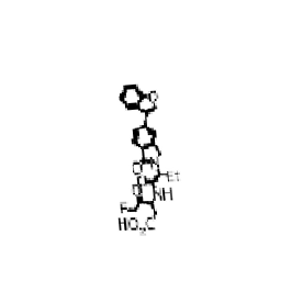 CC[C@@H](C(=O)NC(CC(=O)O)C(=O)CF)N1Cc2cc(-c3coc4ccccc34)ccc2C1=O